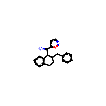 NC(c1ccno1)C1c2ccccc2CCC1Cc1ccccc1